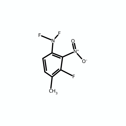 Cc1ccc(N(F)F)c([N+](=O)[O-])c1F